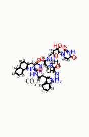 C[C@@H]([C@H](NC(=O)[C@H](Cc1ccc2ccccc2c1)NC(=O)N[C@@H](Cc1c[nH]c2ccccc12)C(=O)O)C(=O)NC[C@H]1C[C@@H](O)[C@H](n2ccc(=O)[nH]c2=O)O1)N(C)C(=O)CN